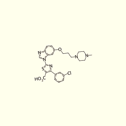 CN1CCN(CCCOc2ccc3ncn(-c4nc(-c5cccc(Cl)c5)c(C(=O)O)s4)c3c2)CC1